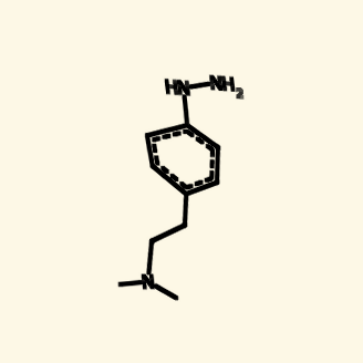 CN(C)CCc1ccc(NN)cc1